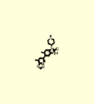 Cc1cc2c(cc1-c1cc(C)c3ncnn3c1)[nH]c(=O)n2C1CCN(C)CC1